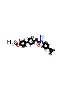 COc1ccc(C2CCC(CC(=O)Nc3ccc(C4CC4)cc3)CC2)cc1